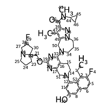 CCc1c(F)ccc2cc(O)cc(N3CCc4c(nc(OC[C@@]56CCCN5C[C@H](F)C6)nc4N4CCCn5nc(C(=O)N(C)C6CC6)c(C)c5C4)C3)c12